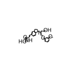 COc1cccc(OCCN(CCO)C2CCc3cc(/C=C/C(=O)NO)ccc32)c1